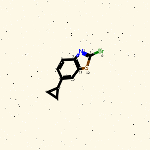 Brc1nc2ccc(C3CC3)cc2s1